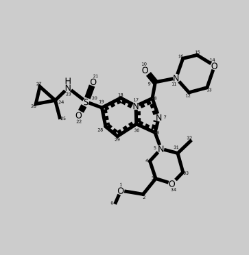 COCC1CN(c2nc(C(=O)N3CCOCC3)n3cc(S(=O)(=O)NC4(C)CC4)ccc23)C(C)CO1